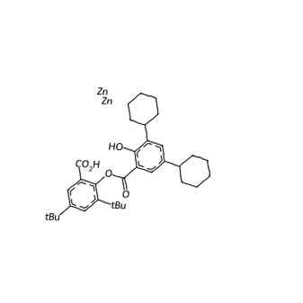 CC(C)(C)c1cc(C(=O)O)c(OC(=O)c2cc(C3CCCCC3)cc(C3CCCCC3)c2O)c(C(C)(C)C)c1.[Zn].[Zn]